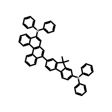 CC1(C)c2cc(-c3cc4cc(N(c5ccccc5)c5ccccc5)c5ccccc5c4c4ccccc34)ccc2-c2ccc(N(c3ccccc3)c3ccccc3)cc21